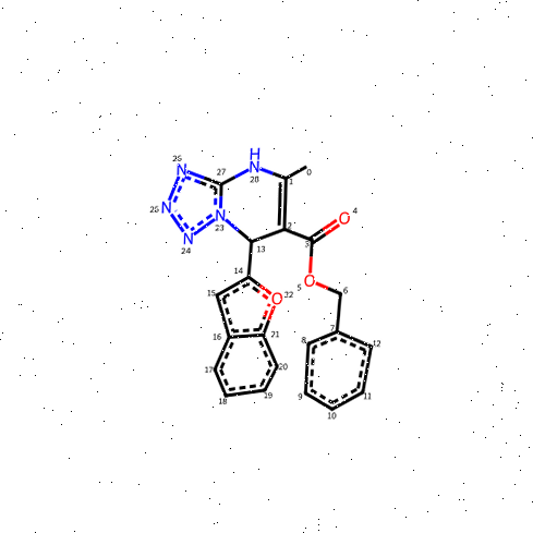 CC1=C(C(=O)OCc2ccccc2)C(c2cc3ccccc3o2)n2nnnc2N1